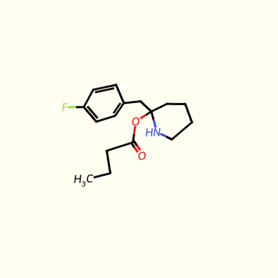 CCCC(=O)OC1(Cc2ccc(F)cc2)CCCCN1